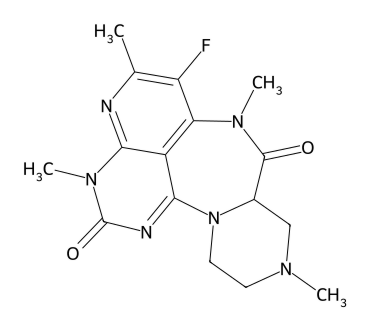 Cc1nc2c3c(nc(=O)n2C)N2CCN(C)CC2C(=O)N(C)c3c1F